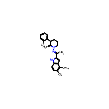 C=C1C(c2ccccc2C(F)(F)F)CCCN1/N=C(\C)c1cc2c(OC)c(C#N)ccc2[nH]1